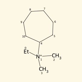 CC[N+](C)(C)C1CCCCCC1